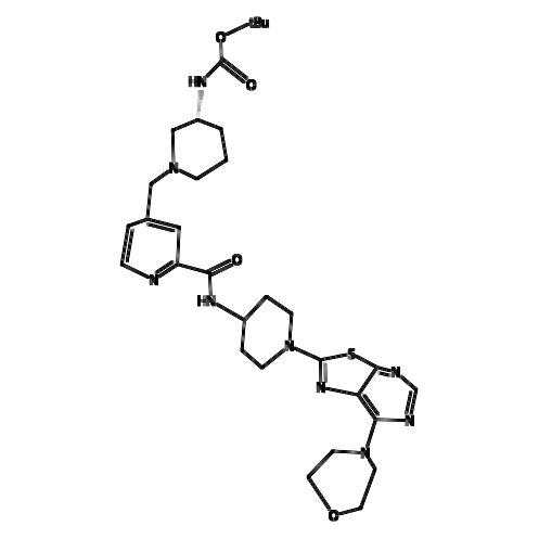 CC(C)(C)OC(=O)N[C@@H]1CCCN(Cc2ccnc(C(=O)NC3CCN(c4nc5c(N6CCOCC6)ncnc5s4)CC3)c2)C1